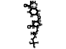 CC(C)(C)CCNCc1sc(Oc2ccc(C(N)=O)cc2)nc1Cl